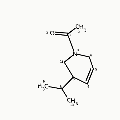 CC(=O)N1CC=CC(C(C)C)C1